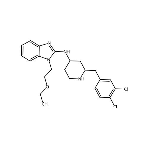 CCOCCn1c(NC2CCNC(Cc3ccc(Cl)c(Cl)c3)C2)nc2ccccc21